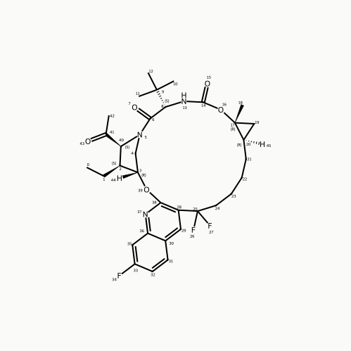 CC[C@@H]1[C@@H]2CN(C(=O)[C@H](C(C)(C)C)NC(=O)O[C@]3(C)C[C@H]3CCCCC(F)(F)c3cc4ccc(F)cc4nc3O2)[C@@H]1C(C)=O